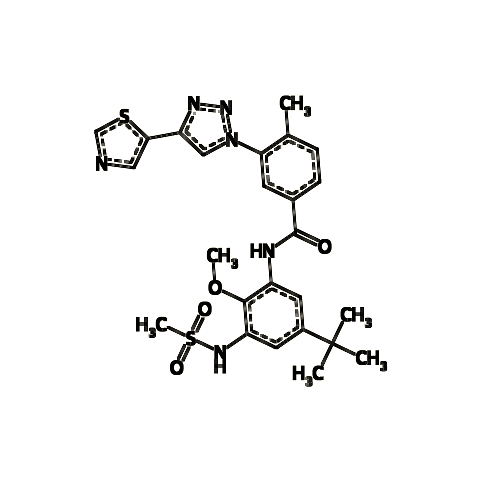 COc1c(NC(=O)c2ccc(C)c(-n3cc(-c4cncs4)nn3)c2)cc(C(C)(C)C)cc1NS(C)(=O)=O